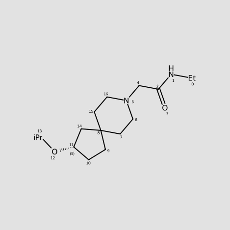 CCNC(=O)CN1CCC2(CC[C@H](OC(C)C)C2)CC1